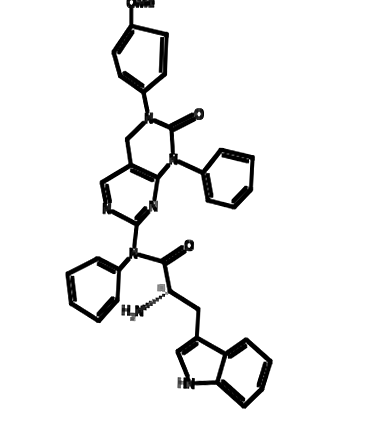 COc1ccc(N2Cc3cnc(N(C(=O)[C@@H](N)Cc4c[nH]c5ccccc45)c4ccccc4)nc3N(c3ccccc3)C2=O)cc1